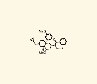 COc1cccc([C@@]23CCN(CC4CC4)C[C@H]2C(OC)C[C@H](N(CC(C)C)C(=O)c2ccccc2)C3)c1